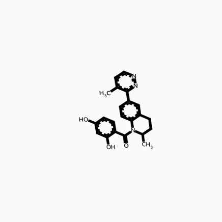 Cc1ccnnc1-c1ccc2c(c1)CCC(C)N2C(=O)c1ccc(O)cc1O